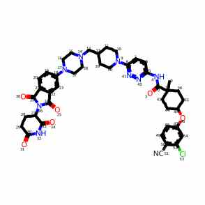 CC1(C(=O)Nc2ccc(N3CCC(CN4CCN(c5ccc6c(c5)C(=O)N(C5CCC(=O)NC5=O)C6=O)CC4)CC3)nn2)CCC(Oc2ccc(C#N)c(Cl)c2)CC1